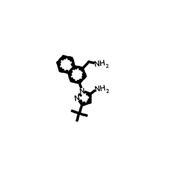 CC(C)(C)c1cc(N)n(-c2cc(CN)c3ccccc3c2)n1